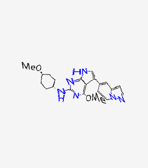 COc1nc(N[C@H]2CC[C@H](OC)CC2)nc2[nH]cc(-c3ccn4nccc4c3)c12